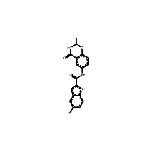 CC1NC(=O)c2cc(NC(=O)c3cc4cc(Cl)ccc4[nH]3)ccc2O1